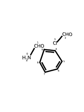 NC=O.O=CCl.c1ccccc1